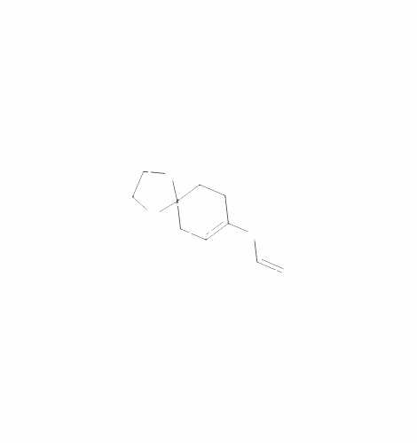 C=COC1=CCC2(CC1)OCCO2